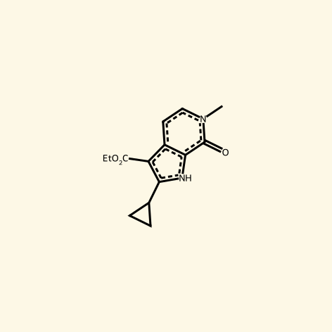 CCOC(=O)c1c(C2CC2)[nH]c2c(=O)n(C)ccc12